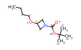 CCCCOC1CN(C(=O)OC(C)(C)C)C1